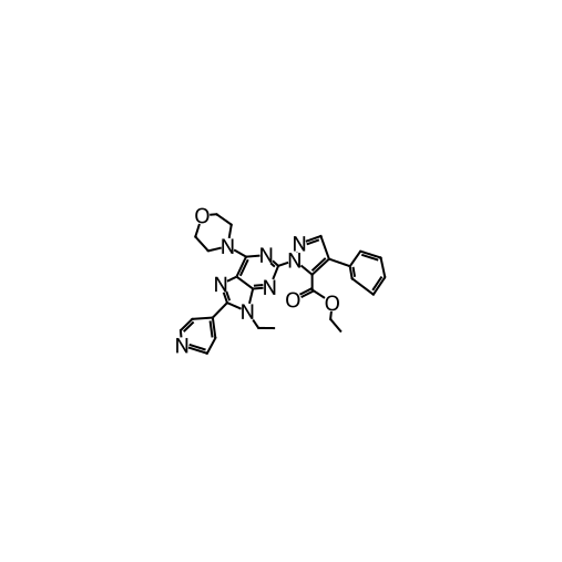 CCOC(=O)c1c(-c2ccccc2)cnn1-c1nc(N2CCOCC2)c2nc(-c3ccncc3)n(CC)c2n1